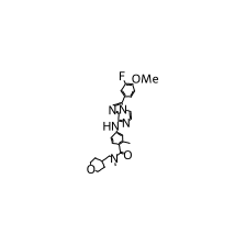 COc1ccc(-c2cnc3c(Nc4ccc(C(=O)N(C)CC5CCOCC5)c(C)c4)nccn23)cc1F